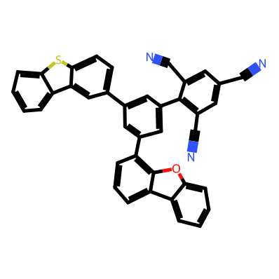 N#Cc1cc(C#N)c(-c2cc(-c3ccc4sc5ccccc5c4c3)cc(-c3cccc4c3oc3ccccc34)c2)c(C#N)c1